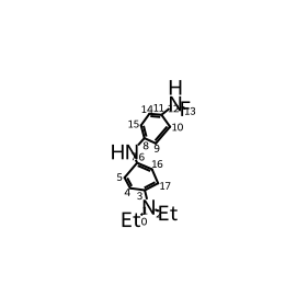 CCN(CC)c1ccc(Nc2ccc(NF)cc2)cc1